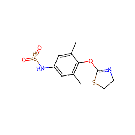 Cc1cc(N[SH](=O)=O)cc(C)c1OC1=NCCS1